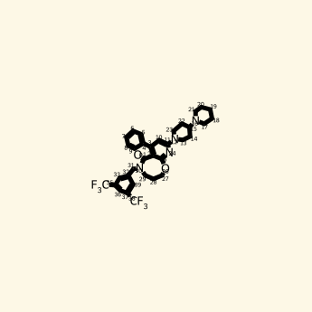 O=C1c2c(-c3ccccc3)cc(N3CCC(N4CCCCC4)CC3)nc2OCCCN1Cc1cc(C(F)(F)F)cc(C(F)(F)F)c1